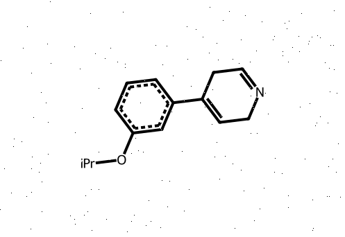 CC(C)Oc1cccc(C2=CCN=CC2)c1